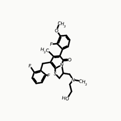 COc1cccc(-c2c(C)c(Cc3c(F)cccc3F)c3n(c2=O)C(CN(C)CCO)CS3)c1F